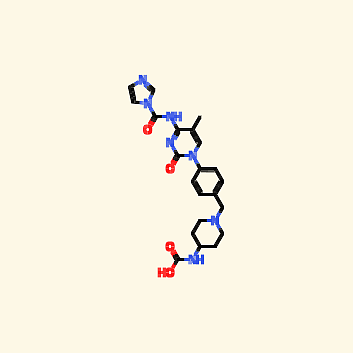 Cc1cn(-c2ccc(CN3CCC(NC(=O)O)CC3)cc2)c(=O)nc1NC(=O)n1ccnc1